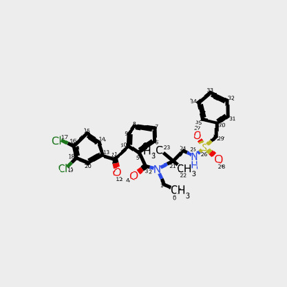 CCN(C(=O)c1ccccc1C(=O)c1ccc(Cl)c(Cl)c1)C(C)(C)CNS(=O)(=O)Cc1ccccc1